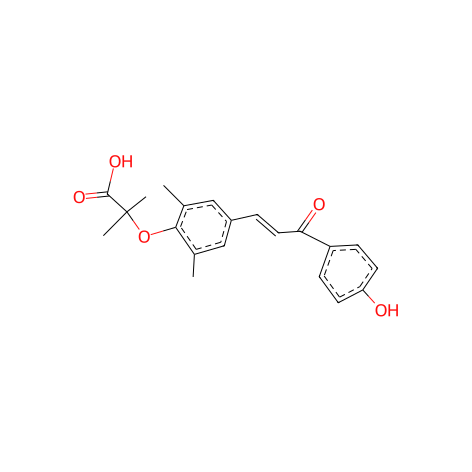 Cc1cc(C=CC(=O)c2ccc(O)cc2)cc(C)c1OC(C)(C)C(=O)O